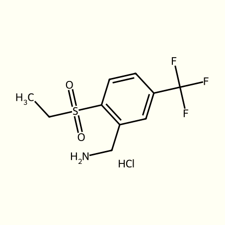 CCS(=O)(=O)c1ccc(C(F)(F)F)cc1CN.Cl